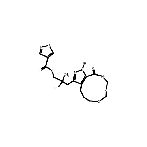 CCn1nc(CC(C)(C)COC(=O)c2cnsc2)c2c1C(=O)NCCCOCCC2